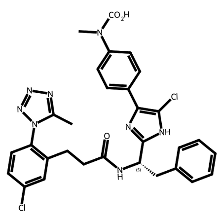 Cc1nnnn1-c1ccc(Cl)cc1CCC(=O)N[C@@H](Cc1ccccc1)c1nc(-c2ccc(N(C)C(=O)O)cc2)c(Cl)[nH]1